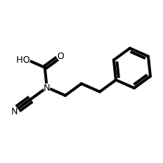 N#CN(CCCc1ccccc1)C(=O)O